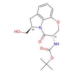 CC(C)(C)OC(=O)N[C@H]1COc2cccc3c2N(C1=O)[C@@H](CO)C3